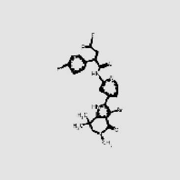 CN1CC(C)(C)c2[nH]c(-c3ccnc(NC(=O)C(CC(F)F)c4ccc(F)cc4)c3)c(Br)c2C1=O